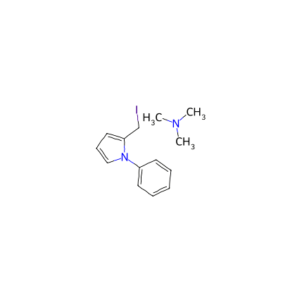 CN(C)C.ICc1cccn1-c1ccccc1